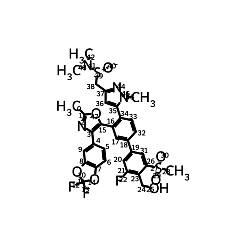 Cc1nc(-c2ccc3c(c2)OC(F)(F)O3)c(-c2cc(-c3cc(F)c(CO)c(S(C)(=O)=O)c3)ccc2-c2cc(C[S+]([O-])N(C)C)nn2C)o1